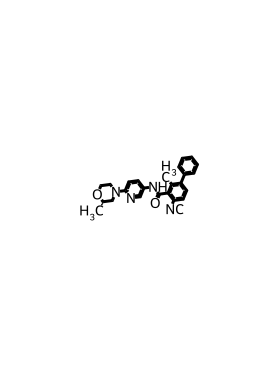 Cc1c(-c2ccccc2)ccc(C#N)c1C(=O)Nc1ccc(N2CCO[C@@H](C)C2)nc1